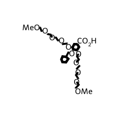 COCCOCCOCCOCCOc1cc(C(=O)O)cc(OCCOCCOCCOCCOC)c1OCc1ccccc1